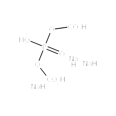 O=C(O)OP(=O)(O)OC(=O)O.[NaH].[NaH].[NaH]